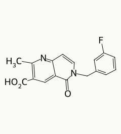 Cc1nc2ccn(Cc3cccc(F)c3)c(=O)c2cc1C(=O)O